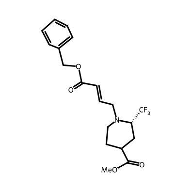 COC(=O)C1CCN(C/C=C/C(=O)OCc2ccccc2)[C@H](C(F)(F)F)C1